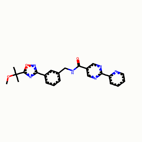 COC(C)(C)c1nc(-c2cccc(CNC(=O)c3cnc(-c4ccccn4)nc3)c2)no1